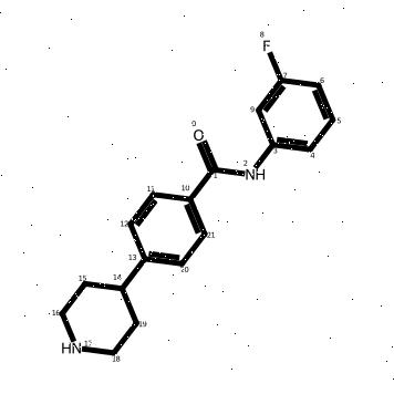 O=C(Nc1cccc(F)c1)c1ccc(C2CCNCC2)cc1